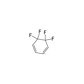 FC1(F)C=[C]C=CC1(F)F